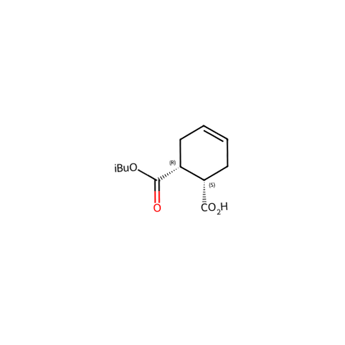 CC(C)COC(=O)[C@@H]1CC=CC[C@@H]1C(=O)O